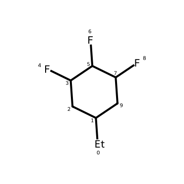 CCC1CC(F)C(F)C(F)C1